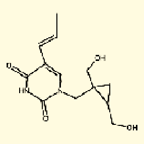 CC=Cc1cn(CC2(CO)CC2CO)c(=O)[nH]c1=O